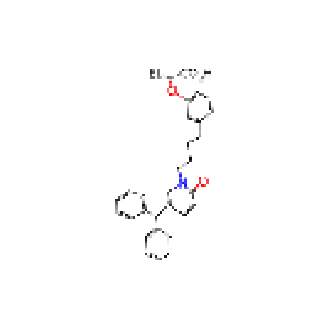 CCC(Oc1cccc(CCCCn2cc(C(c3ccccc3)c3ccccc3)ccc2=O)c1)C(=O)O